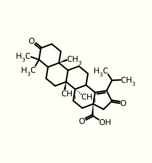 CC(C)C1=C2C3CCC4[C@@]5(C)CCC(=O)C(C)(C)C5CC[C@@]4(C)[C@]3(C)CC[C@@]2(C(=O)O)CC1=O